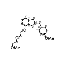 COCCOCCOc1cccc2c1CN(Cc1ccc(OC)cc1)C2